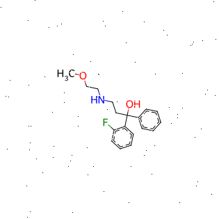 COCCNCCC(O)(c1ccccc1)c1ccccc1F